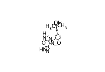 CC(C)(O)C#Cc1ccc2c(c1)-c1nc(C(N)=O)c(-c3cn[nH]c3)n1CCO2